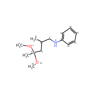 CO[Si](C)(CC(C)CNc1ccccc1)OC